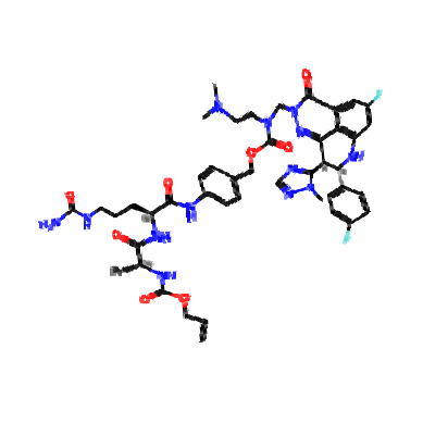 C=CCOC(=O)N[C@H](C(=O)N[C@@H](CCCNC(N)=O)C(=O)Nc1ccc(COC(=O)N(CCN(C)C)Cn2nc3c4c(cc(F)cc4c2=O)N[C@H](c2ccc(F)cc2)[C@H]3c2ncnn2C)cc1)C(C)C